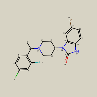 CC(c1ccc(Cl)cc1F)N1CCC(n2c(=O)[nH]c3ccc(Br)cc32)CC1